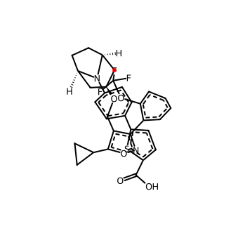 O=C(O)c1ccc(-c2ccc(N3[C@@H]4CC[C@H]3C[C@@H](OCc3c(-c5ccccc5OC(F)(F)F)noc3C3CC3)C4)cc2)s1